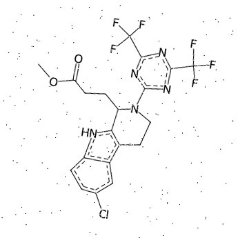 COC(=O)CCC1c2[nH]c3ccc(Cl)cc3c2CCN1c1nc(C(F)(F)F)nc(C(F)(F)F)n1